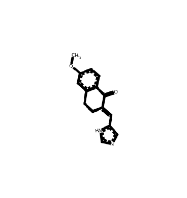 COc1ccc2c(c1)CC/C(=C\c1cnc[nH]1)C2=O